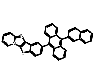 c1ccc2cc(-c3c4ccccc4c(-c4ccc5sc6c(nc7ccccn76)c5c4)c4ccccc34)ccc2c1